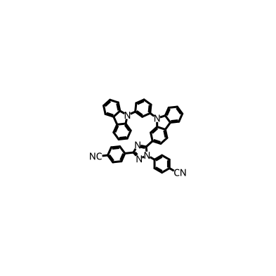 N#Cc1ccc(-c2nc(-c3ccc4c5ccccc5n(-c5cccc(-n6c7ccccc7c7ccccc76)c5)c4c3)n(-c3ccc(C#N)cc3)n2)cc1